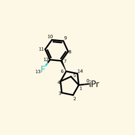 CC(C)C12CCC(C1)[C@@H](c1ccccc1F)C2